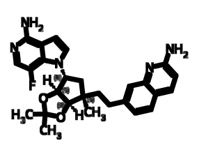 CC1(C)O[C@H]2[C@H](n3ccc4c(N)ncc(F)c43)C[C@](C)(CCc3ccc4ccc(N)nc4c3)[C@H]2O1